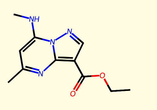 CCOC(=O)c1cnn2c(NC)cc(C)nc12